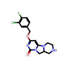 O=c1nc(OCc2ccc(F)c(Cl)c2)cc2n1CC1CNCCN21